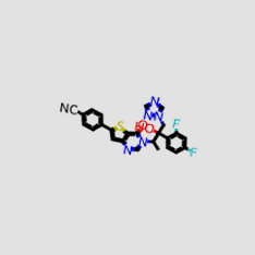 CC(n1cnc2cc(-c3ccc(C#N)cc3)sc2c1=O)C(O)(Cn1cncn1)c1ccc(F)cc1F